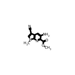 COC(=O)c1nc2c(cc1N)c(C#N)cn2C